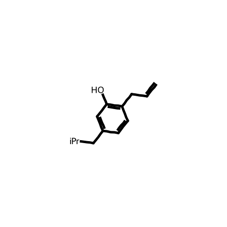 C=CCc1ccc(CC(C)C)cc1O